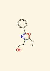 CCc1oc(-c2ccccc2)nc1CCO